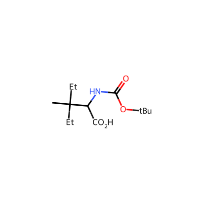 CCC(C)(CC)C(NC(=O)OC(C)(C)C)C(=O)O